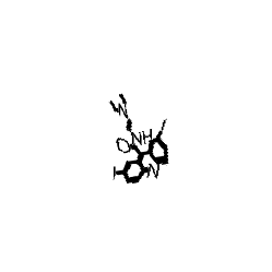 CCN(CC)CCNC(=O)c1c2cc(I)ccc2nc2ccc(I)cc12